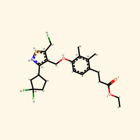 CCOC(=O)CCc1ccc(OCc2c(C3CCC(F)(F)C3)nsc2CF)c(C)c1C